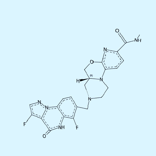 CNC(=O)c1ccc2c(n1)OC[C@H]1CN(Cc3ccc4c([nH]c(=O)c5c(F)cnn54)c3F)CCN21